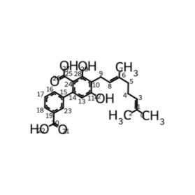 CC(C)=CCC/C(C)=C/Cc1c(O)cc(-c2cccc(C(=O)O)c2)c(C(=O)O)c1O